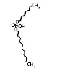 CCCCCCCCCCCOP(=O)(O)OCCCCCCC